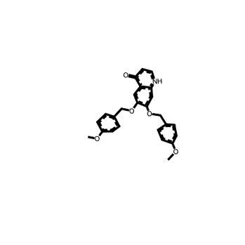 COc1ccc(COc2cc3[nH]ccc(=O)c3cc2OCc2ccc(OC)cc2)cc1